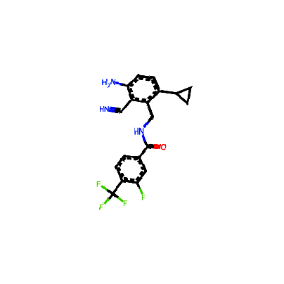 N=Cc1c(N)ccc(C2CC2)c1CNC(=O)c1ccc(C(F)(F)F)c(F)c1